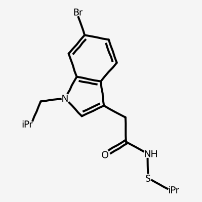 CC(C)Cn1cc(CC(=O)NSC(C)C)c2ccc(Br)cc21